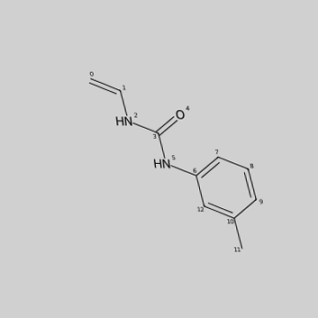 C=CNC(=O)Nc1cccc(C)c1